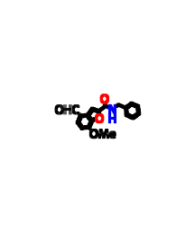 COc1ccc(C=O)c2cc(C(=O)NCc3ccccc3)oc12